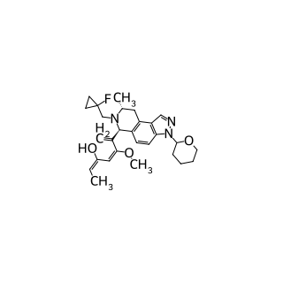 C=C(/C(=C\C(O)=C/C)OC)[C@@H]1c2ccc3c(cnn3C3CCCCO3)c2C[C@@H](C)N1CC1(F)CC1